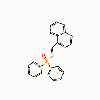 O=P(/C=C/c1cccc2ccccc12)(c1ccccc1)c1ccccc1